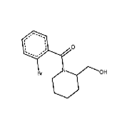 O=C(c1ccccc1Br)N1CCCCC1CO